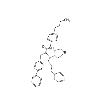 CCCCc1ccc(NC(=O)N(Cc2ccc(-c3ccccc3)cc2)C(CCCc2ccccc2)C2CCNCC2)cc1